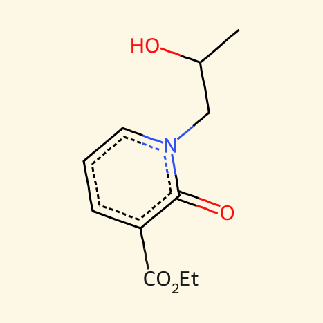 CCOC(=O)c1cccn(CC(C)O)c1=O